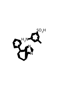 C1=CC(c2ccccc2)=c2c3ncnc2=C3C1.Cc1cc(N)cc(S(=O)(=O)O)c1